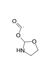 O=[C]OC1NCCO1